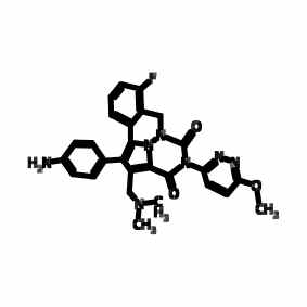 COc1ccc(-n2c(=O)c3c(CN(C)C)c(-c4ccc(N)cc4)c4n3n(c2=O)Cc2c(F)cccc2-4)nn1